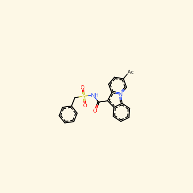 CC(=O)c1ccc2c(C(=O)NS(=O)(=O)Cc3ccccc3)c3ccccc3n2c1